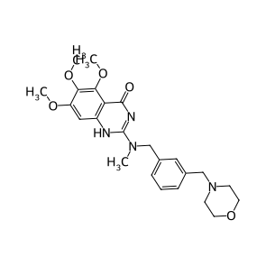 COc1cc2[nH]c(N(C)Cc3cccc(CN4CCOCC4)c3)nc(=O)c2c(OC)c1OC